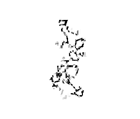 CCC[C@H]1N(C(=O)c2ncccc2C(F)(F)F)CCC[C@@]1(Oc1ccc(C(F)(F)F)cc1)C(=O)N1CCC(O)(c2ccccc2OC(C)CCC2(C(=O)O)CCC2)CC1